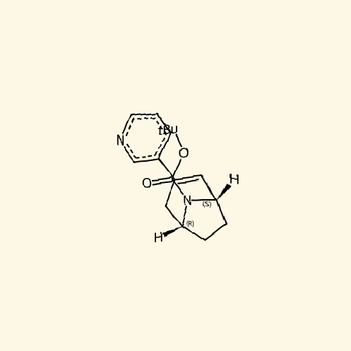 CC(C)(C)OC(=O)N1[C@@H]2CC[C@H]1C=C(c1cccnc1)C2